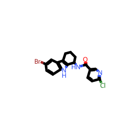 O=C(NC1CCCc2c1[nH]c1ccc(Br)cc21)c1ccc(Cl)nc1